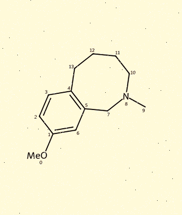 COc1ccc2c(c1)CN(C)CCCC2